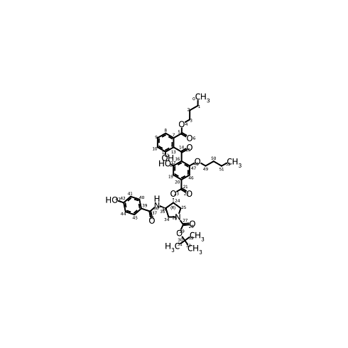 CCCCOC(=O)c1cccc(O)c1C(=O)c1c(O)cc(C(=O)O[C@@H]2CN(C(=O)OC(C)(C)C)C[C@H]2NC(=O)c2ccc(O)cc2)cc1OCCCC